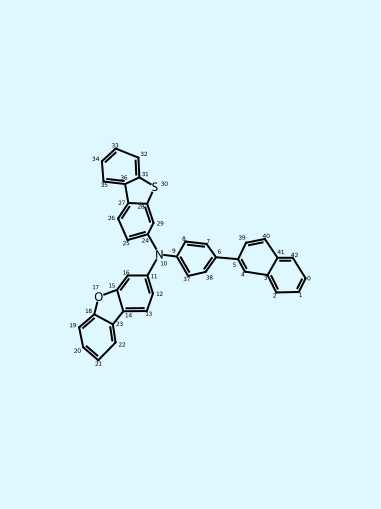 c1ccc2cc(-c3ccc(N(c4ccc5c(c4)oc4ccccc45)c4ccc5c(c4)sc4ccccc45)cc3)ccc2c1